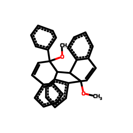 COC1(c2ccccc2)C=Cc2ccccc2C1C1c2ccccc2C=CC1(OC)c1ccccc1